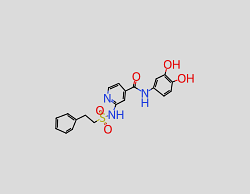 O=C(Nc1ccc(O)c(O)c1)c1ccnc(NS(=O)(=O)CCc2ccccc2)c1